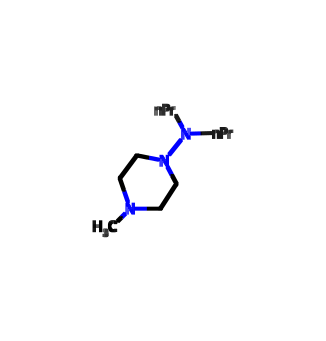 CCCN(CCC)N1CCN(C)CC1